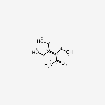 NC(=O)C(CO)=C(CO)CO